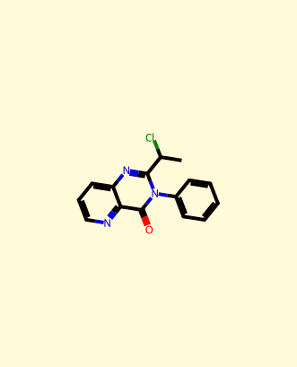 CC(Cl)c1nc2cccnc2c(=O)n1-c1ccccc1